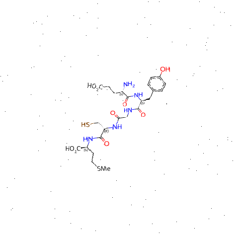 CSCC[C@H](NC(=O)[C@H](CS)NC(=O)CNC(=O)[C@H](Cc1ccc(O)cc1)NC(=O)[C@@H](N)CCC(=O)O)C(=O)O